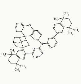 CC1(C)CCC(C)(C)c2cc(-c3cccc(N(c4cccc(-c5ccc6c(c5)C(C)(C)CCC6(C)C)c4)c4ccc5c(c4)C4(c6ccccc6S5)C5CC6CC7CC4C75C6)c3)ccc21